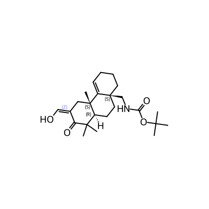 CC(C)(C)OC(=O)NC[C@]12CCCC=C1[C@@]1(C)C/C(=C/O)C(=O)C(C)(C)[C@@H]1CC2